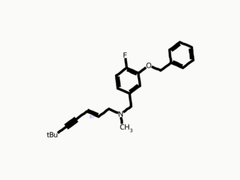 CN(C/C=C/C#CC(C)(C)C)Cc1ccc(F)c(OCc2ccccc2)c1